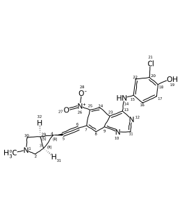 CN1C[C@@H]2[C@H](C#Cc3cc4ncnc(Nc5ccc(O)c(Cl)c5)c4cc3[N+](=O)[O-])[C@@H]2C1